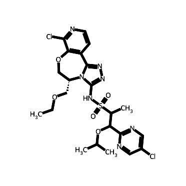 CCOC[C@@H]1COc2c(ccnc2Cl)-c2nnc(NS(=O)(=O)C(C)C(OC(C)C)c3ncc(Cl)cn3)n21